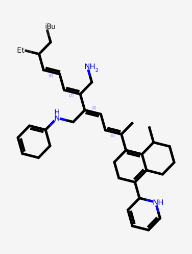 CCC(C)CC(/C=C/C=C(CN)/C(=C/C=C(\C)C1=C2C(=C(C3C=CC=CN3)CC1)CCCC2C)CNC1=CC=CCC1)CC